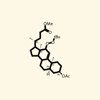 COC(=O)CC[C@@H](C)C1CCC2C3CC[C@@H]4C[C@H](OC(C)=O)CC[C@]4(C)C3=CC(OOC(C)(C)C)[C@@]21C